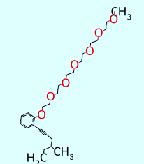 C=CC(C)CC#Cc1ccccc1OCCOCCOCCOCCOCCOCCOC